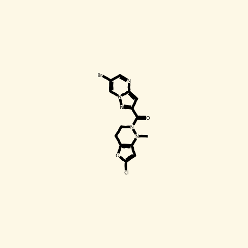 CN1c2cc(Cl)oc2CCN1C(=O)c1cc2ncc(Br)cn2n1